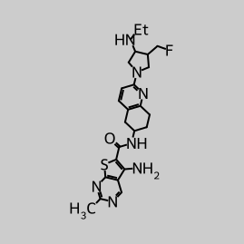 CCNC1CN(c2ccc3c(n2)CCC(NC(=O)c2sc4nc(C)ncc4c2N)C3)CC1CF